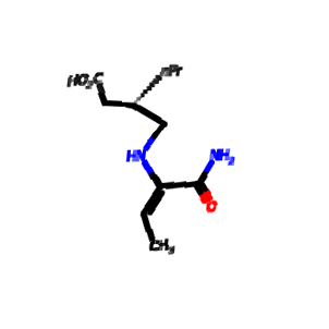 C/C=C(/NC[C@@H](CCC)CC(=O)O)C(N)=O